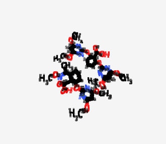 CON=C(C)c1cccc(Oc2nc(OC)cc(OC)n2)c1C(=O)O.COc1cc(OC)nc(Oc2cccc(Oc3nc(OC)cc(OC)n3)c2C(=O)O)n1